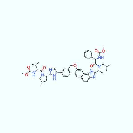 COC(=O)N[C@H](C(=O)N1C[C@@H](C)C[C@H]1c1ncc(-c2ccc3c(c2)COc2cc4c(ccc5nc([C@H](C)N(CC(C)C)C(=O)[C@H](NC(=O)OC)c6ccccc6)[nH]c54)cc2-3)[nH]1)C(C)C